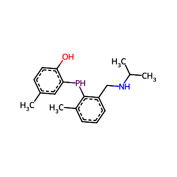 Cc1ccc(O)c(Pc2c(C)cccc2CNC(C)C)c1